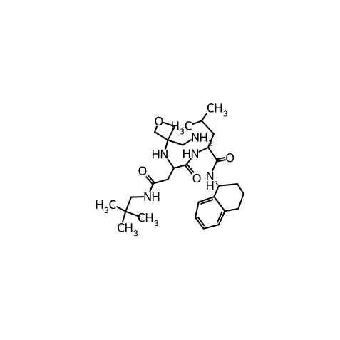 CC(C)CC(NC(=O)C(CC(=O)NCC(C)(C)C)NC1(CN)COC1)C(=O)N[C@@H]1CCCc2ccccc21